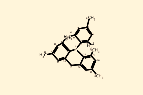 Cc1cc(C)c(P2c3c(C)cc(C)cc3Cc3cc(C)cc(C)c32)c(C)c1